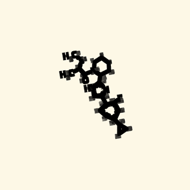 CSC(C)C(=O)N1CCCCC1c1nc(-c2ccc(C3CC3)cc2F)c[nH]1